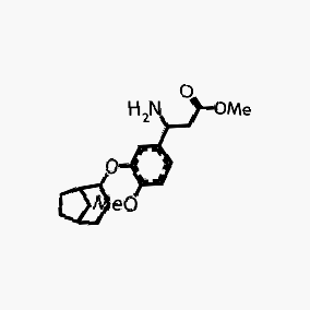 COC(=O)CC(N)c1ccc(OC)c(OC2CCC3CCC2C3)c1